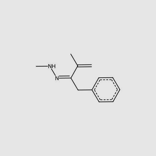 C=C(C)/C(Cc1ccccc1)=N\NC